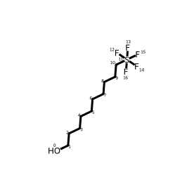 OCCCCCCCCCCS(F)(F)(F)(F)F